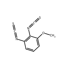 COc1cccc(N=C=S)c1N=C=S